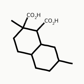 CC1CCC2CCC(C)(C(=O)O)C(C(=O)O)C2C1